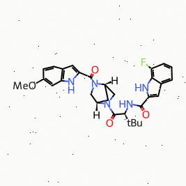 COc1ccc2cc(C(=O)N3C[C@@H]4C[C@H]3CN4C(=O)[C@@H](NC(=O)c3cc4cccc(F)c4[nH]3)C(C)(C)C)[nH]c2c1